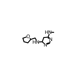 CNC1=NC=NC(NCC2CCCO2)C1